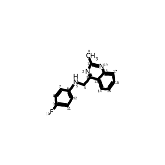 Cc1nc(CNc2ccc(F)cc2)c2ccccc2n1